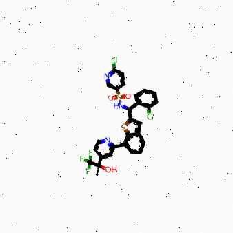 C[C@](O)(c1ccnc(-c2cccc3cc(C(NS(=O)(=O)c4ccc(Cl)nc4)c4ccccc4Cl)sc23)c1)C(F)(F)F